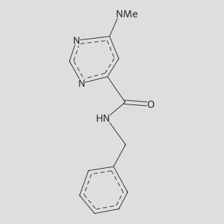 CNc1cc(C(=O)NCc2ccccc2)ncn1